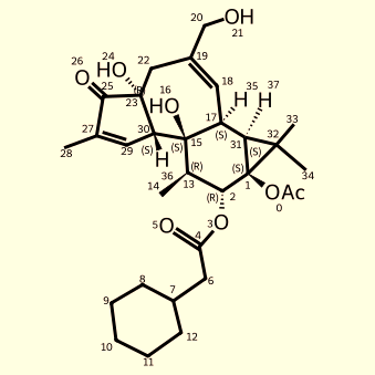 CC(=O)O[C@@]12[C@H](OC(=O)CC3CCCCC3)[C@@H](C)[C@@]3(O)[C@@H](C=C(CO)C[C@]4(O)C(=O)C(C)=C[C@@H]34)[C@H]1C2(C)C